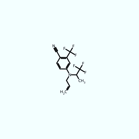 C=CCN(c1ccc(C#N)c(C(F)(F)F)c1)C(C)C(F)(F)F